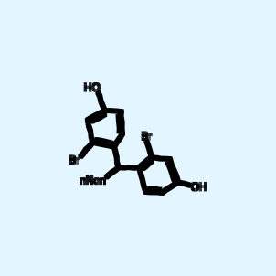 CCCCCCCCCC(c1ccc(O)cc1Br)c1ccc(O)cc1Br